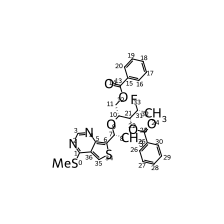 CSc1ncnc2c([C@@H](C)O[C@H](COC(=O)c3ccccc3)[C@@H](OC(=O)c3ccccc3)[C@@H](C)F)scc12